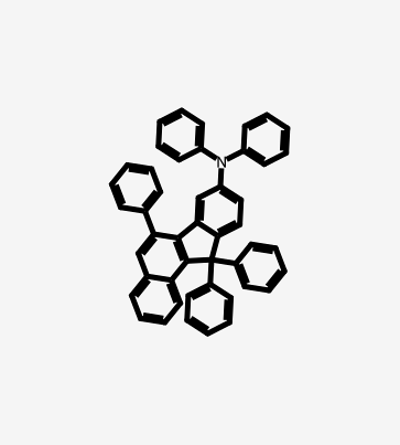 c1ccc(-c2cc3ccccc3c3c2-c2cc(N(c4ccccc4)c4ccccc4)ccc2C3(c2ccccc2)c2ccccc2)cc1